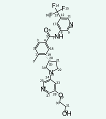 Cc1ccc(C(=O)Nc2cncc(C(F)(F)F)c2)cc1[C@@H]1CCN(c2cncc(OCCO)c2)C1